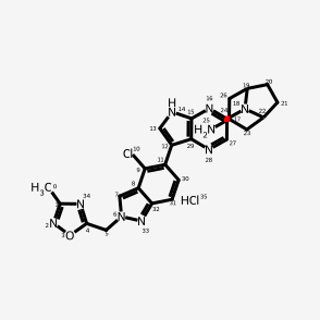 Cc1noc(Cn2cc3c(Cl)c(-c4c[nH]c5nc(N6C7CCC6CC(N)C7)cnc45)ccc3n2)n1.Cl